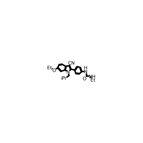 CCNC(=O)Nc1ccc(-c2c(C#N)c3ccc(OCC)cc3n2CC(C)C)cc1